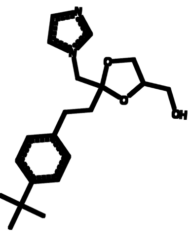 CC(C)(C)c1ccc(CCC2(Cn3ccnc3)OCC(CO)O2)cc1